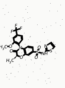 COc1cc(C(F)(F)F)ccc1N1C(=O)[C@H](C)Oc2cc(S(=O)(=O)Nc3nccs3)ccc21